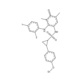 CCOc1ccc(C2CC2S(=O)(=O)Nc2cc(C)c(=O)n(C)c2Nc2ccc(I)cc2F)cc1